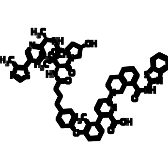 Cc1ncsc1-c1ccc([C@H](C)NC(=O)[C@@H]2C[C@@H](O)CN2C(=O)[C@@H](NC(=O)CCCc2ccc(Oc3cccc(-c4ccc(N5CCc6cccc(C(=O)Nc7nc8ccccc8s7)c6C5)nc4C(=O)O)c3C)cc2)C(C)(C)C)nc1